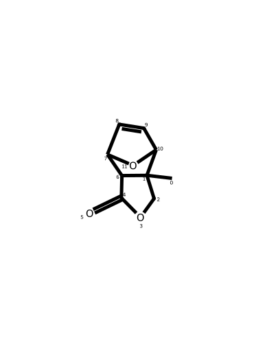 CC12COC(=O)C1C1C=CC2O1